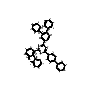 C1=CC(c2ccc(-c3nc(-c4ccc(-c5ccccc5)c(-c5ccccc5)c4)nc(-c4cccc5oc6ccccc6c45)n3)cc2)=CCC1